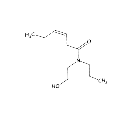 CC/C=C\CC(=O)N(CCC)CCO